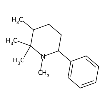 CC1CCC(c2ccccc2)N(C)C1(C)C